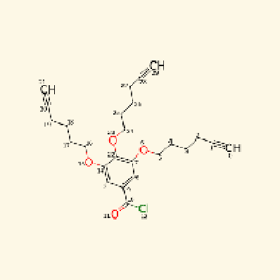 C#CCCCCOc1cc(C(=O)Cl)cc(OCCCCC#C)c1OCCCCC#C